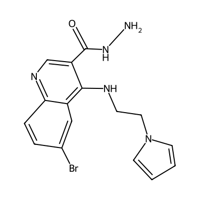 NNC(=O)c1cnc2ccc(Br)cc2c1NCCn1cccc1